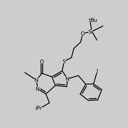 CC(C)Cc1nn(C)c(=O)c2c(SCCCO[Si](C)(C)C(C)(C)C)n(Cc3ccccc3I)cc12